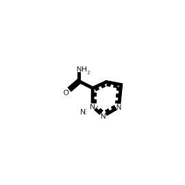 NC(=O)c1ccnnn1.[N]